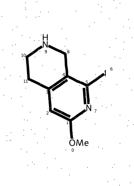 COc1cc2c(c(I)n1)CNCC2